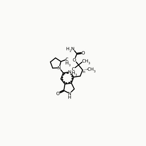 CC1CCCN1c1cc2c(c(C[C@@H](C)C(C)(C)OC(N)=O)n1)CNC2=O